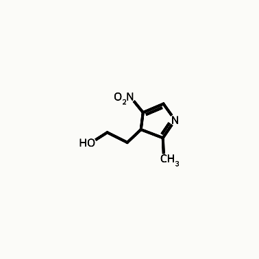 CC1=NC=C([N+](=O)[O-])C1CCO